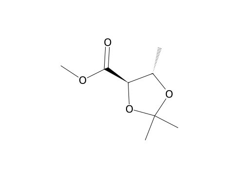 COC(=O)[C@@H]1OC(C)(C)O[C@H]1C